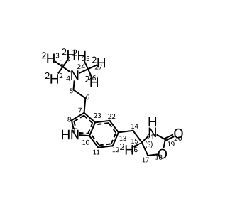 [2H]C([2H])([2H])N(CCc1c[nH]c2ccc(C[C@@]3([2H])COC(=O)N3)cc12)C([2H])([2H])[2H]